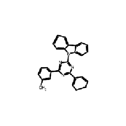 Cc1cccc(-c2nc(C3=CCCC=C3)nc(-n3c4ccccc4c4ccccc43)n2)c1